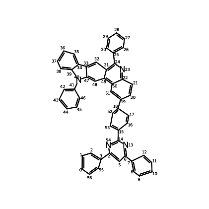 c1ccc(-c2cc(-c3ccccc3)nc(-c3ccc(-c4ccc5nc(-c6ccccc6)c6cc7c8ccccc8n(-c8ccccc8)c7cc6c5c4)cc3)n2)cc1